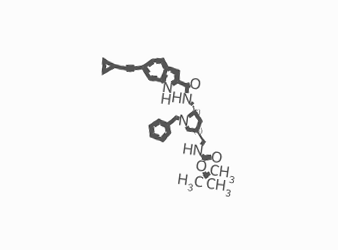 CC(C)(C)OC(=O)NC[C@@H]1C[C@@H](CNC(=O)c2cc3ccc(C#CC4CC4)cc3[nH]2)N(Cc2ccccc2)C1